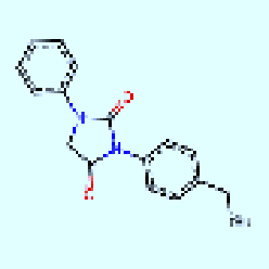 CC(C)(C)Cc1ccc(N2C(=O)CN(c3ccccc3)C2=O)cc1